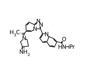 CC(C)NC(=O)c1ccc2ccc(-c3nnc4ccc([C@@H](C)N5CC[C@@H](N)C5)cn34)nc2c1